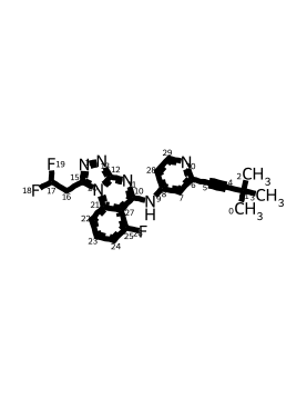 CC(C)(C)C#Cc1cc(Nc2nc3nnc(CC(F)F)n3c3cccc(F)c23)ccn1